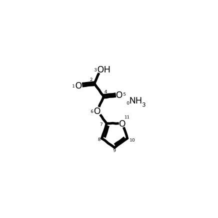 N.O=C(O)C(=O)Oc1ccco1